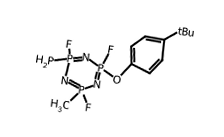 CC(C)(C)c1ccc(OP2(F)=NP(C)(F)=NP(F)(P)=N2)cc1